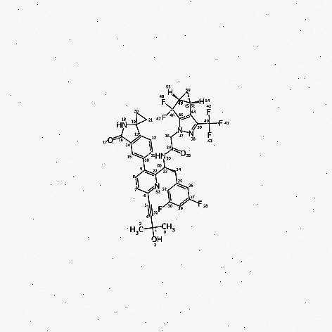 CC(C)(O)C#Cc1ccc(-c2ccc3c(c2)C(=O)NC32CC2)c([C@H](Cc2cc(F)cc(F)c2)NC(=O)Cn2nc(C(F)(F)F)c3c2C(F)(F)[C@@H]2C[C@H]32)n1